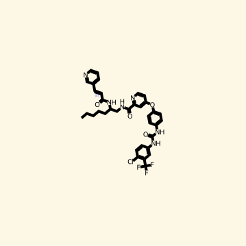 CCCCCC(CNC(=O)c1cc(Oc2ccc(NC(=O)Nc3ccc(Cl)c(C(F)(F)F)c3)cc2)ccn1)NC(=O)/C=C/c1cccnc1